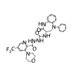 O=C(NNC(=O)c1ncc(C(F)(F)F)cc1N1CCOCC1)NC1CN(c2ccccc2)c2ccccc2NC1=O